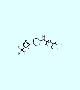 CC(C)OC(=O)N[C@H]1CC[C@H](c2nc(C(F)(F)F)cs2)CC1